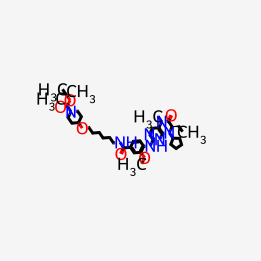 CC[C@@H]1C(=O)N(C)c2cnc(Nc3ccc(C(=O)NCCCCCCOC4CCN(C(=O)OC(C)(C)C)CC4)cc3OC)nc2N1C1CCCC1